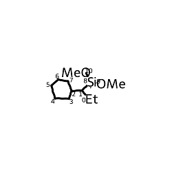 CCC(C1CCCCC1)[Si](OC)OC